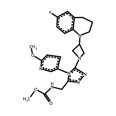 COC(=O)NCc1nnc(N2CC(N3CCCc4cc(F)ccc43)C2)n1-c1ccc(OC)nc1